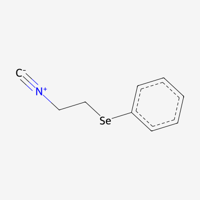 [C-]#[N+]CC[Se]c1ccccc1